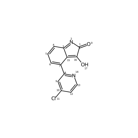 O=C1N=c2cccc(-c3cc(Cl)ccn3)c2=C1O